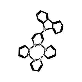 C1=CB2N(C=C1)B1C=CC=CN1B1C=C(n3c4ccccc4c4ccccc43)C=CN1B1C=CC=CN21